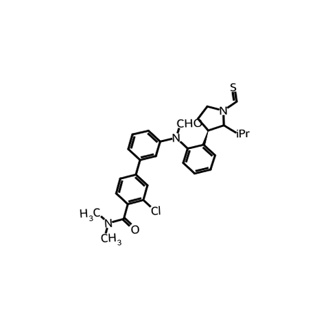 CC(C)C1[C@@H](c2ccccc2N(C=O)c2cccc(-c3ccc(C(=O)N(C)C)c(Cl)c3)c2)CCN1C=S